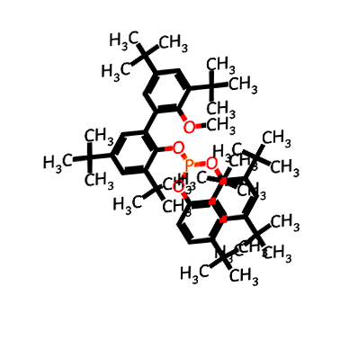 COc1c(-c2cc(C(C)(C)C)cc(C(C)(C)C)c2OP(Oc2ccc(C(C)(C)C)cc2C(C)(C)C)Oc2ccc(C(C)(C)C)cc2C(C)(C)C)cc(C(C)(C)C)cc1C(C)(C)C